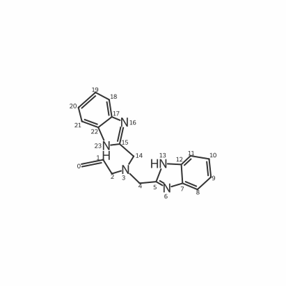 C=CCN(Cc1nc2ccccc2[nH]1)Cc1nc2ccccc2[nH]1